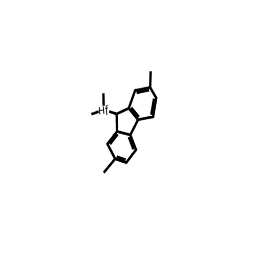 Cc1ccc2c(c1)[CH]([Hf]([CH3])[CH3])c1cc(C)ccc1-2